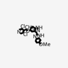 COc1ccc2nc(-c3n[nH]c4ccc(OC(C)c5c(Cl)cncc5Cl)cc34)[nH]c2c1